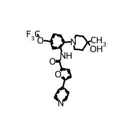 CC1(O)CCN(c2ccc(OC(F)(F)F)cc2NC(=O)c2ccc(-c3ccncc3)o2)CC1